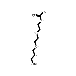 C=C(NCCOCCOCCCC(C)CC)C(C)C